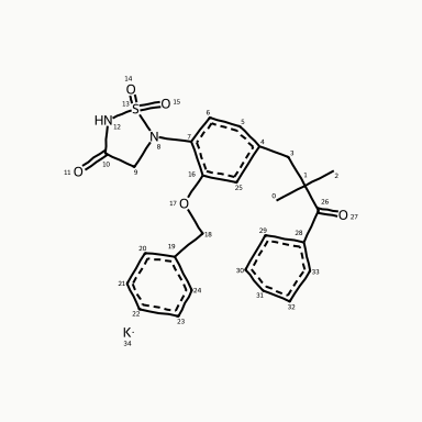 CC(C)(Cc1ccc(N2CC(=O)NS2(=O)=O)c(OCc2ccccc2)c1)C(=O)c1ccccc1.[K]